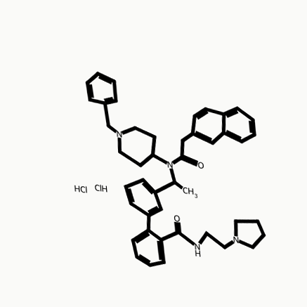 CC(c1cccc(-c2ccccc2C(=O)NCCN2CCCC2)c1)N(C(=O)Cc1ccc2ccccc2c1)C1CCN(Cc2ccccc2)CC1.Cl.Cl